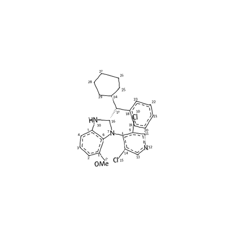 COc1cccc2c1N(c1c(Cl)cncc1Cl)[C@@H](C(c1ccccc1)C1CCCCC1)N2